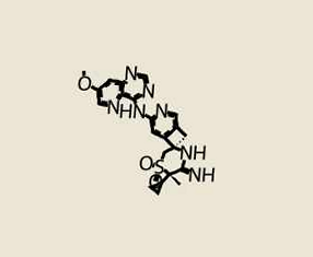 COc1cnc2c(Nc3cc4c(cn3)C[C@]43CS(=O)(=O)[C@@](C)(C4CC4)C(=N)N3)ncnc2c1